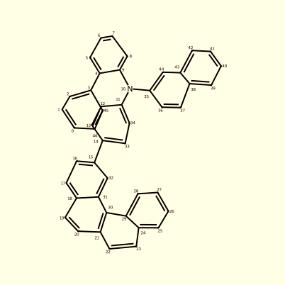 c1ccc(-c2ccccc2N(c2ccc(-c3ccc4ccc5ccc6ccccc6c5c4c3)cc2)c2ccc3ccccc3c2)cc1